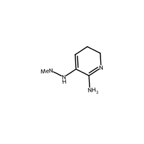 CNNC1=CCCN=C1N